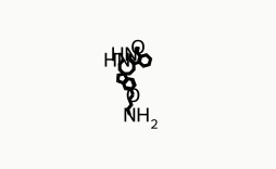 NCCCOc1ccc2c(c1)CCC21CCNc2[nH]c(=O)c3c(c2CC1)CCCC3